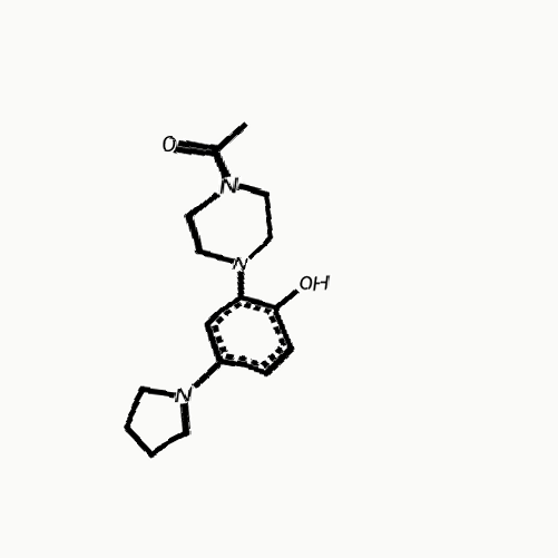 CC(=O)N1CCN(c2cc(N3CCCC3)ccc2O)CC1